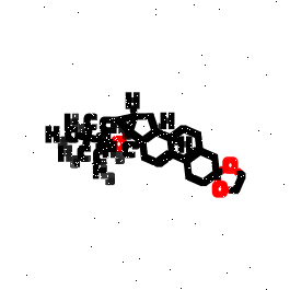 CC(C)(C)[Si](C)(C)OC12C[C@@H]1C[C@H]1[C@@H]3CCC4=C(CCC5(C4)OCCO5)C3=CC[C@@]12C